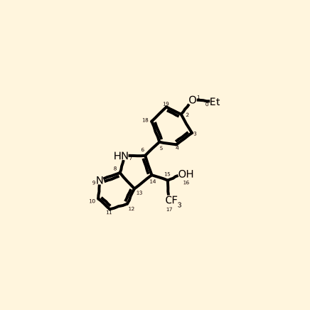 CCOc1ccc(-c2[nH]c3ncccc3c2C(O)C(F)(F)F)cc1